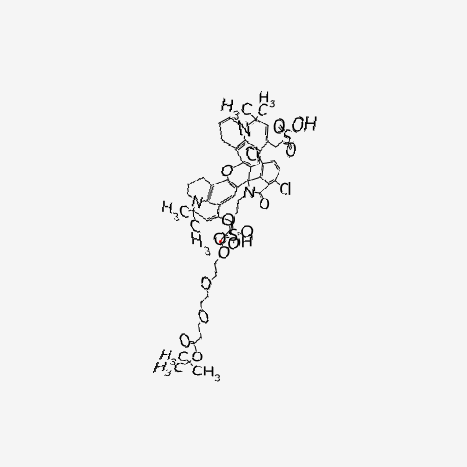 CC(C)(C)OC(=O)CCOCCOCCOCCOCCN1C(=O)c2c(Cl)ccc(Cl)c2C12c1cc3c4c(c1Oc1c2cc2c5c1CCCN5C(C)(C)C=C2CS(=O)(=O)O)CCCN4C(C)(C)C=C3CS(=O)(=O)O